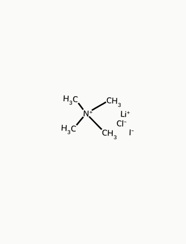 C[N+](C)(C)C.[Cl-].[I-].[Li+]